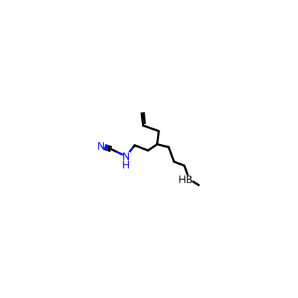 C=CCC(CCCBC)CCNC#N